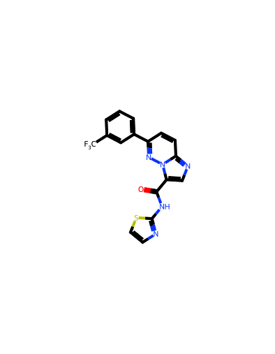 O=C(Nc1nccs1)c1cnc2ccc(-c3cccc(C(F)(F)F)c3)nn12